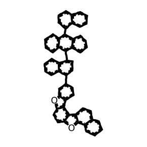 c1ccc2c(-c3c4ccccc4c(-c4ccc(-c5ccc6c(c5)oc5ccc7oc8c9ccccc9ccc8c7c56)c5ccccc45)c4ccccc34)cccc2c1